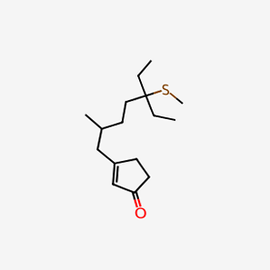 CCC(CC)(CCC(C)CC1=CC(=O)CC1)SC